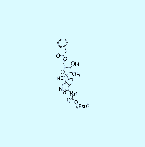 CCCCCOC(=O)Nc1nncn2c([C@]3(C#N)O[C@H](COC(=O)Cc4ccccc4)[C@@H](O)[C@H]3O)ccc12